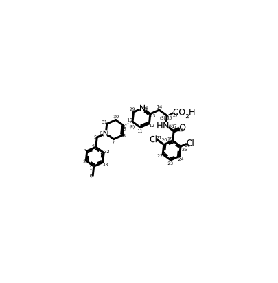 Cc1ccc(CN2CC=C([C@H]3C=CC(C[C@H](NC(=O)c4c(Cl)cccc4Cl)C(=O)O)=NC3)CC2)cc1